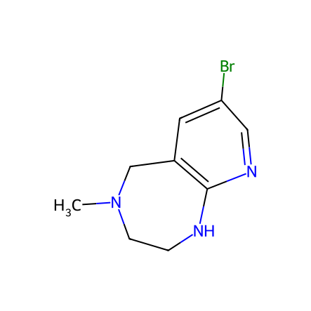 CN1CCNc2ncc(Br)cc2C1